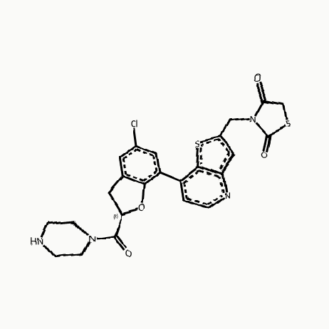 O=C([C@H]1Cc2cc(Cl)cc(-c3ccnc4cc(CN5C(=O)CSC5=O)sc34)c2O1)N1CCNCC1